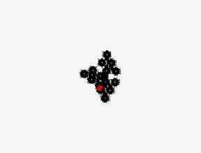 c1ccc(N2c3ccccc3B3c4cc5c6cc7c(c8c9cc%10c(cc9n(c5cc4N(c4ccccc4)c4cccc2c43)c68)N(c2ccccc2)c2cccc3c2B%10c2ccccc2N3c2ccccc2)N(c2ccccc2)c2cccc3c2B7c2ccccc2N3c2ccccc2)cc1